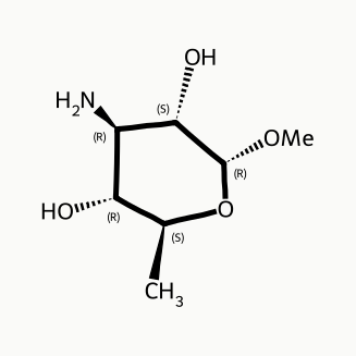 CO[C@@H]1O[C@@H](C)[C@H](O)[C@@H](N)[C@@H]1O